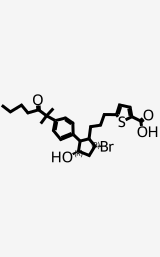 CCCCC(=O)C(C)(C)c1ccc(C2C(CCCc3ccc(C(=O)O)s3)[C@H](Br)C[C@H]2O)cc1